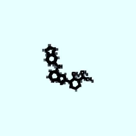 CC(C)N1CCC=C(c2cc3c(Nc4ccc5scnc5c4)ccnc3s2)[C@H]1C